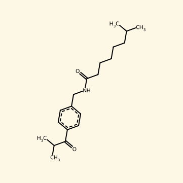 CC(C)CCCCCC(=O)NCc1ccc(C(=O)C(C)C)cc1